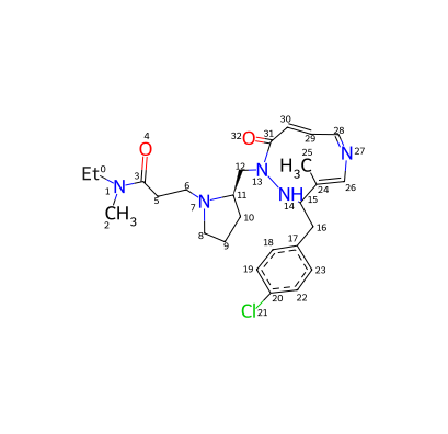 CCN(C)C(=O)CCN1CCC[C@@H]1CN1NC(Cc2ccc(Cl)cc2)/C(C)=C/N=C\C=C\C1=O